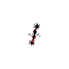 CC(C)(c1ccc(/C=C/c2c(F)c(F)c(F)c(F)c2F)cc1)c1ccc(/C=C/c2c(F)c(F)c(F)c(F)c2F)cc1